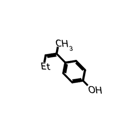 CC/C=C(/C)c1ccc(O)cc1